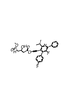 CO[PH](=O)CC(O)CC(=O)OC#Cc1c(C(C)C)nc(-c2ccccc2)c(F)c1-c1ccc(F)cc1